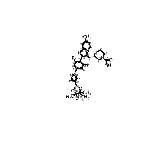 Cc1ccn2c(C[C@H]3CN(C(=O)O)CCO3)c(-c3c(F)cc(-n4cc(B5OC(C)(C)C(C)(C)O5)cn4)cc3F)nc2c1